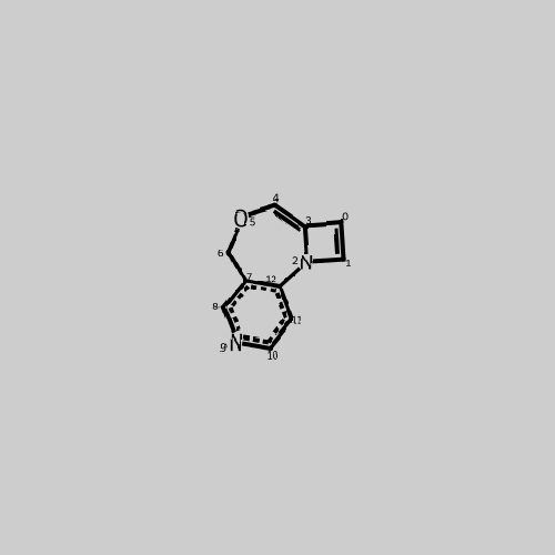 C1=CN2C1=COCc1cnccc12